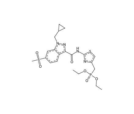 CCOP(=O)(Cc1csc(NC(=O)c2nn(CC3CC3)c3cc(S(C)(=O)=O)ccc23)n1)OCC